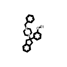 CCOc1cccc(C2(N3CCN(Cc4ccccc4)CC3)Cc3ccccc3C2)c1